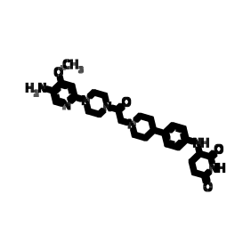 COc1cc(N2CCN(C(=O)CN3CCC(c4ccc(NC5CCC(=O)NC5=O)cc4)CC3)CC2)ncc1N